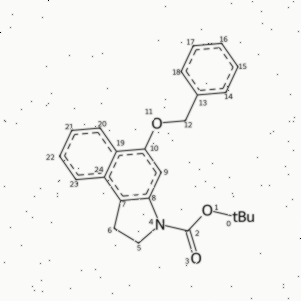 CC(C)(C)OC(=O)N1CCc2c1cc(OCc1ccccc1)c1ccccc21